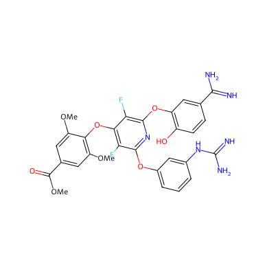 COC(=O)c1cc(OC)c(Oc2c(F)c(Oc3cccc(NC(=N)N)c3)nc(Oc3cc(C(=N)N)ccc3O)c2F)c(OC)c1